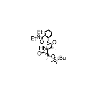 CCN(CC)C(=O)c1ccccc1SC(=O)[C@H](C)[C@H]1NC(=O)[C@@H]1[C@@H](C)O[Si](C)(C)C(C)(C)C